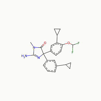 CN1C(=O)C(c2cccc(C3CC3)c2)(c2ccc(OC(F)F)c(C3CC3)c2)N=C1N